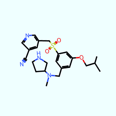 CC(C)COc1cc(CN(C)C2CCNC2)cc(S(=O)(=O)Cc2cncc(C#N)c2)c1